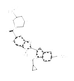 COc1ccc2c(c1)cc(-c1nc3cc(C(=O)N4CCCC(NC(=O)O)C4)ccc3n1C)n2CC1CC1